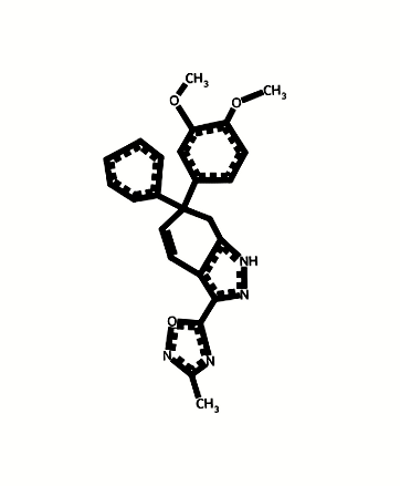 COc1ccc(C2(c3ccccc3)C=Cc3c(-c4nc(C)no4)n[nH]c3C2)cc1OC